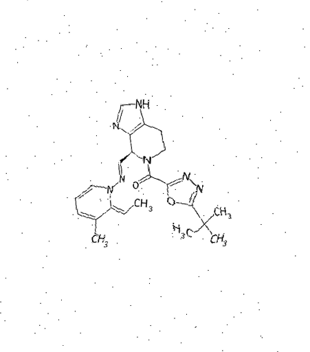 C/C=C1/C(C)=CC=CN1/N=C/[C@H]1c2nc[nH]c2CCN1C(=O)c1nnc(C(C)(C)C)o1